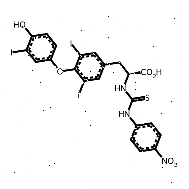 O=C(O)[C@H](Cc1cc(I)c(Oc2ccc(O)c(I)c2)c(I)c1)NC(=S)Nc1ccc([N+](=O)[O-])cc1